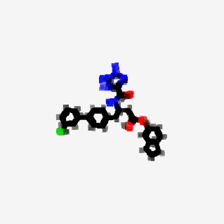 O=C(C[C@@H](Cc1ccc(-c2cccc(Cl)c2)cc1)NC(=O)C1=NNNN1)Oc1ccc2c(c1)CCC2